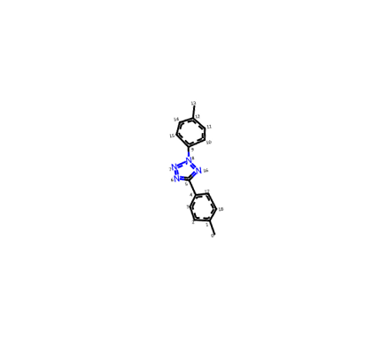 Cc1ccc(-c2nnn(-c3ccc(C)cc3)n2)cc1